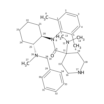 Cc1cccc(C)c1N(C(=O)C1(N(C)C)CCNCC1)[C@@H]1CCCC[C@H]1N(C)Cc1ccccc1